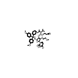 COCCO[C@@H]1[C@H](OP(OCCC#N)N(C(C)C)C(C)C)[C@@H](COC(c2ccccc2)(c2ccc(OC)cc2)c2ccc(OC)cc2)O[C@H]1n1ccc(=O)[nH]c1=O